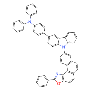 c1ccc(-c2nc3c(ccc4ccc5cc(-n6c7ccccc7c7cc(-c8ccc(N(c9ccccc9)c9ccccc9)cc8)ccc76)ccc5c43)o2)cc1